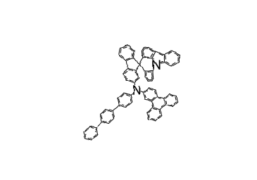 c1ccc(-c2ccc(-c3ccc(N(c4ccc5c(c4)C4(c6ccccc6-5)c5ccccc5-n5c6ccccc6c6cccc4c65)c4ccc5c6ccccc6c6ccccc6c5c4)cc3)cc2)cc1